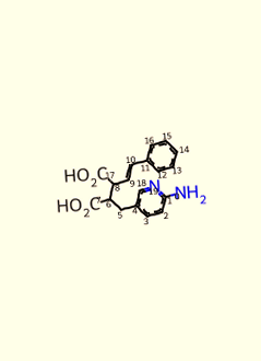 Nc1ccc(CC(C(=O)O)C(C=Cc2ccccc2)C(=O)O)cn1